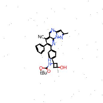 Cc1cc2ncc3c(C#N)c(-c4ccccc4)c(-c4ccc([C@]5(NC(=O)OC(C)(C)C)C[C@@](C)(O)C5)cc4)nc3n2n1